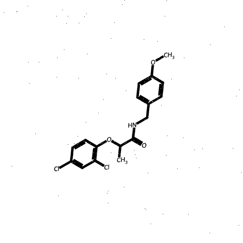 COc1ccc(CNC(=O)C(C)Oc2ccc(Cl)cc2Cl)cc1